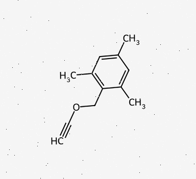 C#COCc1c(C)cc(C)cc1C